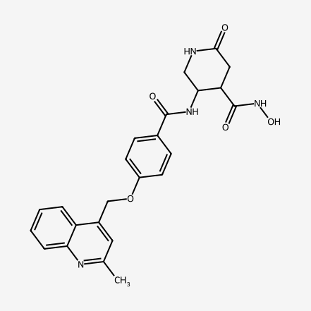 Cc1cc(COc2ccc(C(=O)NC3CNC(=O)CC3C(=O)NO)cc2)c2ccccc2n1